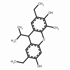 CCc1cc2c(cc1O)Oc1c(cc(CC)c(O)c1C)C2C(C)C